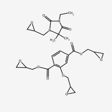 CCN1C(=O)N(CC2CO2)C(C)(C)C1=O.O=C(OCC1CO1)c1ccc(C(=O)OCC2CO2)c(OCC2CO2)c1